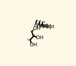 CCCCCCCC.CCCCCCCC.CCCCCCCC.OCC(O)CO